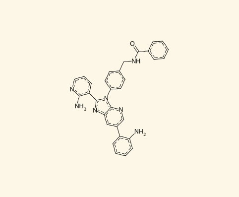 Nc1ccccc1-c1cnc2c(c1)nc(-c1cccnc1N)n2-c1ccc(CNC(=O)c2ccccc2)cc1